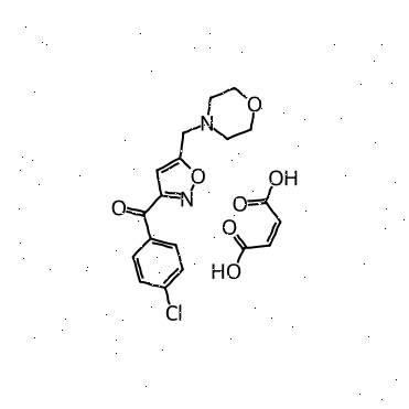 O=C(O)/C=C\C(=O)O.O=C(c1ccc(Cl)cc1)c1cc(CN2CCOCC2)on1